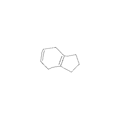 C1=CCC2=C(C1)CCC2